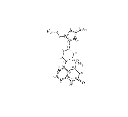 CCCCc1cn(CCO)c(C2CCN(c3ncnc4c3C(C)CC(=O)N4)CC2)n1